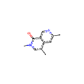 Cc1cc2c(C)cn(C)c(=O)c2cn1